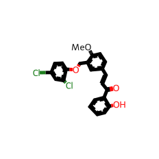 COc1ccc(C=CC(=O)c2ccccc2O)cc1COc1ccc(Cl)cc1Cl